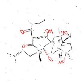 CCC(C)C(=O)C1=C(O)[C@]2(C[C@H]3[C@@H](CC[C@@]3(C)O)[C@](C)(O)C2)C(=O)[C@](C)(CC=C(C)C)C1=O